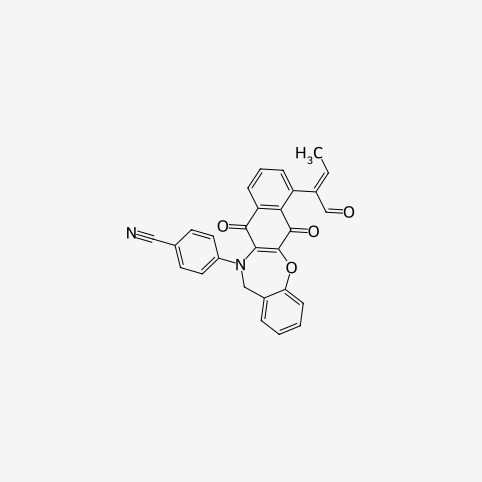 C/C=C(/C=O)c1cccc2c1C(=O)C1=C(C2=O)N(c2ccc(C#N)cc2)Cc2ccccc2O1